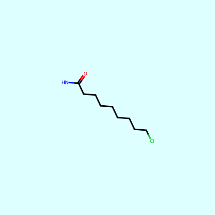 [NH]C(=O)CCCCCCCCCl